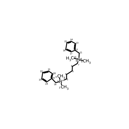 C[N+](C)(CCCCC[N+](C)(C)Cc1ccccc1)Cc1ccccc1